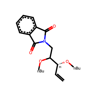 C=C[C@@H](OCCCC)C(CN1C(=O)c2ccccc2C1=O)OCCCC